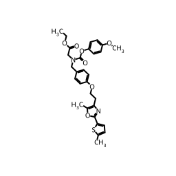 CCOC(=O)CN(Cc1ccc(OCCc2nc(-c3ccc(C)s3)oc2C)cc1)C(=O)Oc1ccc(OC)cc1